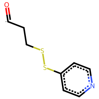 O=[C]CCSSc1ccncc1